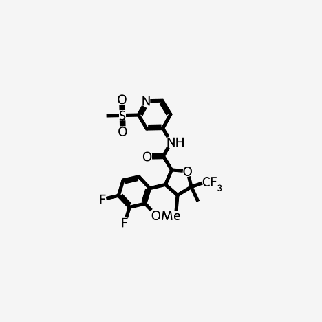 COc1c(C2C(C(=O)Nc3ccnc(S(C)(=O)=O)c3)OC(C)(C(F)(F)F)C2C)ccc(F)c1F